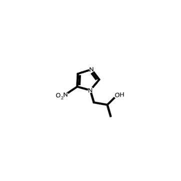 CC(O)Cn1cncc1[N+](=O)[O-]